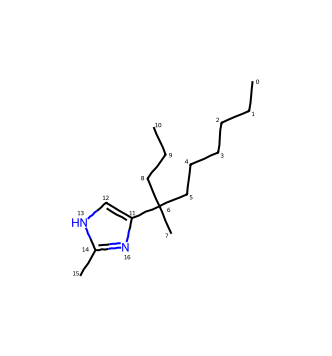 CCCCCCC(C)(CCC)c1c[nH]c(C)n1